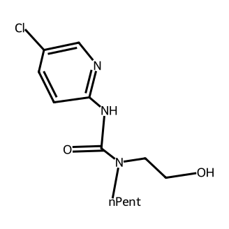 CCCCCN(CCO)C(=O)Nc1ccc(Cl)cn1